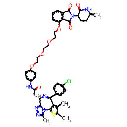 C=C1CCC(N2C(=O)c3cccc(OCCOCCOCCOc4ccc(NC(=O)C[C@@H]5N=C(c6ccc(Cl)cc6)c6c(sc(C)c6C)-n6c(C)nnc65)cc4)c3C2=O)C(=O)N1